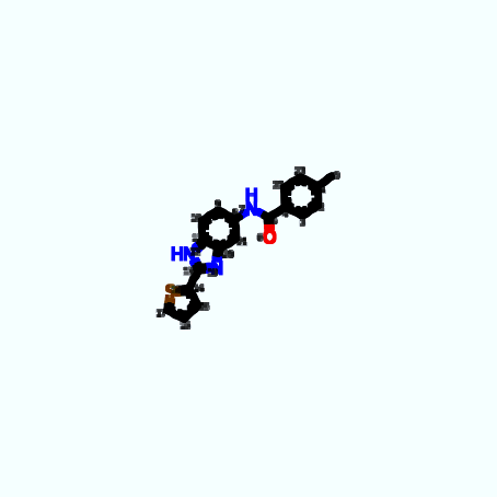 Cc1ccc(C(=O)Nc2ccc3[nH]c(-c4cccs4)nc3c2)cc1